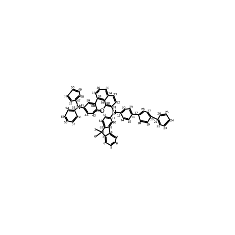 CC1(C)c2ccccc2-c2cc(N(c3ccc(-c4ccc(-c5ccccc5)cc4)cc3)c3ccc4cccc5c4c3Oc3ccc(N(c4ccccc4)c4ccccc4)cc3-5)ccc21